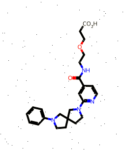 O=C(O)CCOCCNC(=O)c1ccnc(N2CCC3(CCN(c4ccccc4)C3)C2)c1